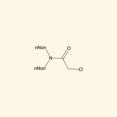 CCCCCCCCCN(CCCCCCCCC)C(=O)CCl